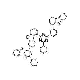 c1ccc(-c2nc(-c3cccc(-c4cccc5c4sc4ccccc45)c3)nc(-c3cccc4oc5cc(-c6nc(-c7ccccc7)nc7c6sc6ccccc67)ccc5c34)n2)cc1